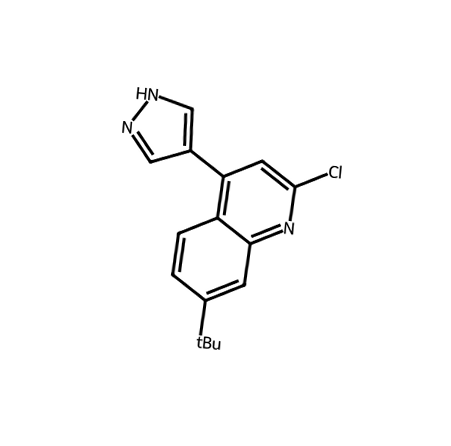 CC(C)(C)c1ccc2c(-c3cn[nH]c3)cc(Cl)nc2c1